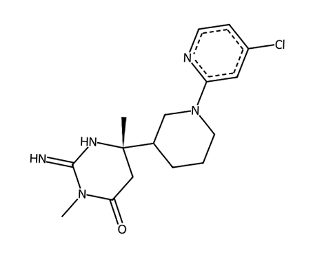 CN1C(=N)N[C@](C)(C2CCCN(c3cc(Cl)ccn3)C2)CC1=O